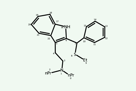 CCCN(CCC)CCc1c(C(SCC)c2ccccc2)[nH]c2ccccc12